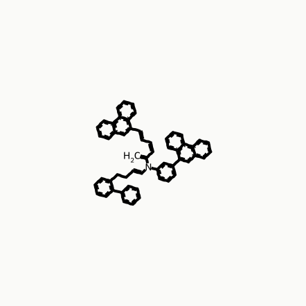 C=C(/C=C\C=C\c1cc2ccccc2c2ccccc12)N(/C=C/CCc1ccccc1-c1ccccc1)c1cccc(-c2cc3ccccc3c3ccccc23)c1